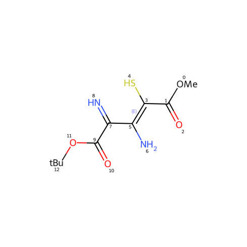 COC(=O)/C(S)=C(\N)C(=N)C(=O)OC(C)(C)C